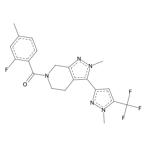 Cc1ccc(C(=O)N2CCc3c(nn(C)c3-c3cc(C(F)(F)F)n(C)n3)C2)c(F)c1